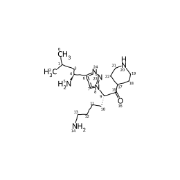 CC(C)C[C@H](N)c1cn([C@@H](CCCCN)C(=O)C2CCNCC2)nn1